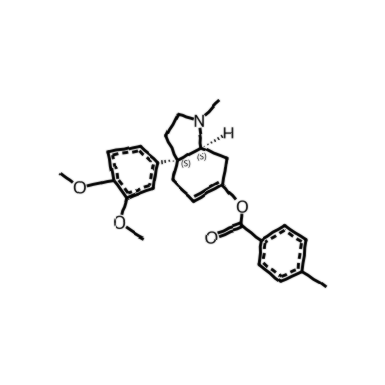 COc1ccc([C@@]23CC=C(OC(=O)c4ccc(C)cc4)C[C@@H]2N(C)CC3)cc1OC